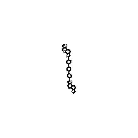 c1cc2ccc3c(ccc4cc(-c5ccc(-c6ccc(-c7ccc(-c8cc9ccc%10c(ccc%11ccsc%11%10)c9s8)cc7)cc6)cc5)sc43)c2s1